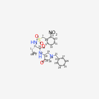 CC(C)C[C@H](NS(=O)(=O)Cc1ccccc1[N+](=O)[O-])C(=O)NC1CN(Cc2ccccc2)CC1=O